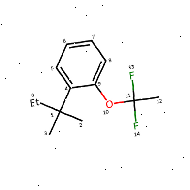 CCC(C)(C)c1ccccc1OC(C)(F)F